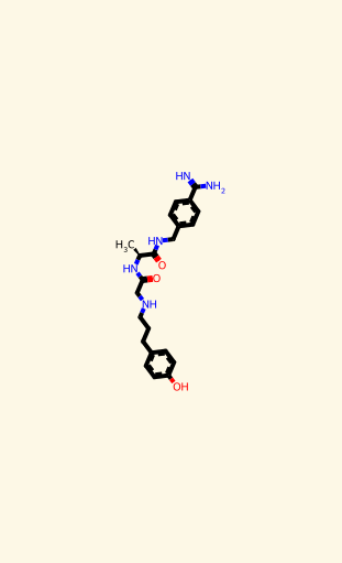 C[C@H](NC(=O)CNCCCc1ccc(O)cc1)C(=O)NCc1ccc(C(=N)N)cc1